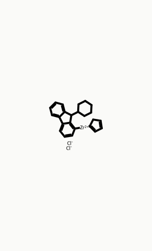 C1=CC[C]([Zr+2][c]2cccc3c2C(C2CCCCC2)c2ccccc2-3)=C1.[Cl-].[Cl-]